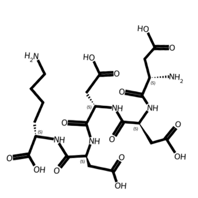 NCCCC[C@H](NC(=O)[C@H](CC(=O)O)NC(=O)[C@H](CC(=O)O)NC(=O)[C@H](CC(=O)O)NC(=O)[C@@H](N)CC(=O)O)C(=O)O